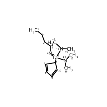 CCCC[N]=[Ta]([CH]1C=CC=C1)([N](C)C)[N](C)C